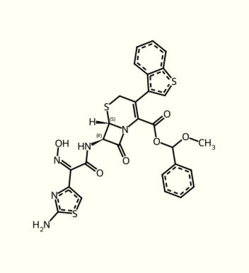 COC(OC(=O)C1=C(c2csc3ccccc23)CS[C@H]2[C@H](NC(=O)C(=NO)c3csc(N)n3)C(=O)N12)c1ccccc1